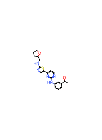 CC(=O)c1cccc(Nc2nccc(-c3cnc(NCC4CCCO4)s3)n2)c1